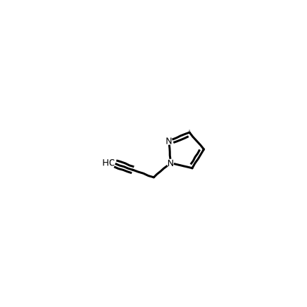 C#CCn1cc[c]n1